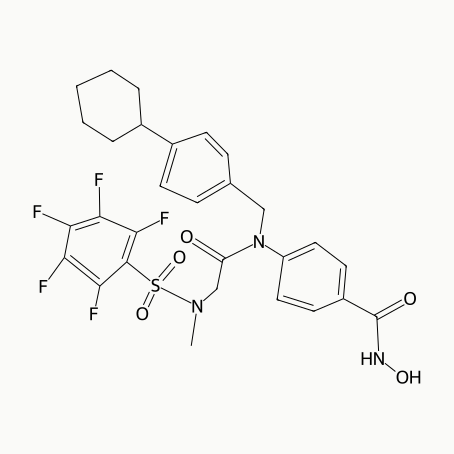 CN(CC(=O)N(Cc1ccc(C2CCCCC2)cc1)c1ccc(C(=O)NO)cc1)S(=O)(=O)c1c(F)c(F)c(F)c(F)c1F